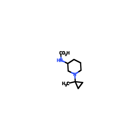 CC1(N2CCCC(NC(=O)O)C2)CC1